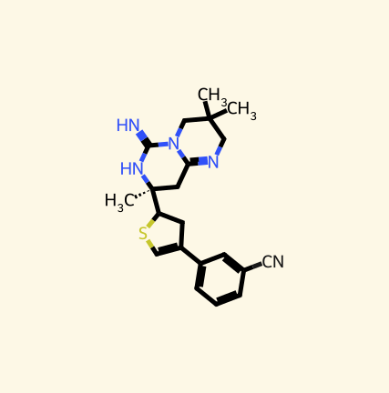 CC1(C)CN=C2C[C@@](C)(C3CC(c4cccc(C#N)c4)=CS3)NC(=N)N2C1